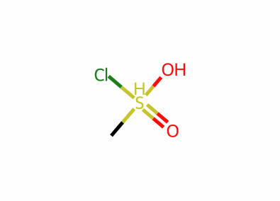 C[SH](=O)(O)Cl